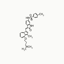 Cc1ccc(S(=O)(=O)Nc2ccc3c(c2)NC(=O)C3=Cc2cc(C)c3c(OCCCN(C)C)ccccc2-3)cc1